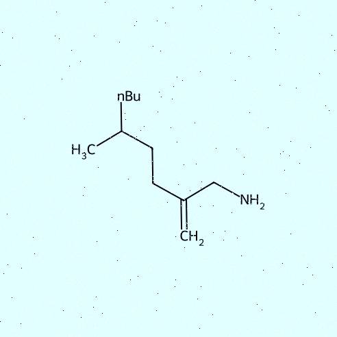 C=C(CN)CCC(C)CCCC